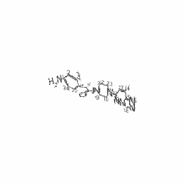 Nc1ccc(CC(=O)N2CCN(c3ccc4nncn4n3)CC2)cc1